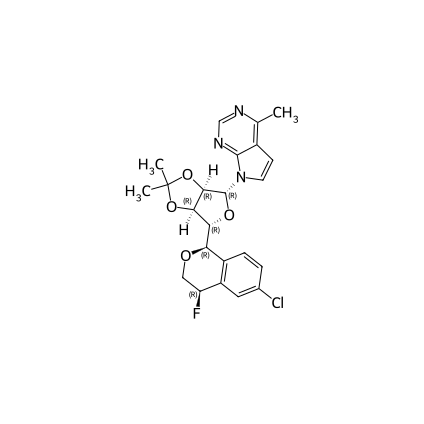 Cc1ncnc2c1ccn2[C@@H]1O[C@H]([C@@H]2OC[C@H](F)c3cc(Cl)ccc32)[C@H]2OC(C)(C)O[C@H]21